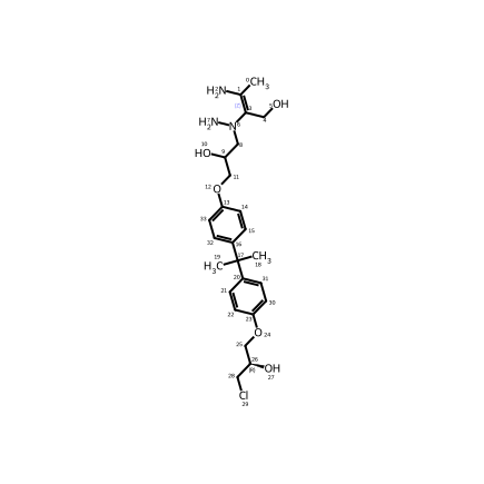 C/C(N)=C(\CO)N(N)CC(O)COc1ccc(C(C)(C)c2ccc(OC[C@@H](O)CCl)cc2)cc1